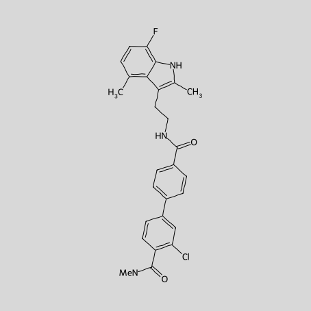 CNC(=O)c1ccc(-c2ccc(C(=O)NCCc3c(C)[nH]c4c(F)ccc(C)c34)cc2)cc1Cl